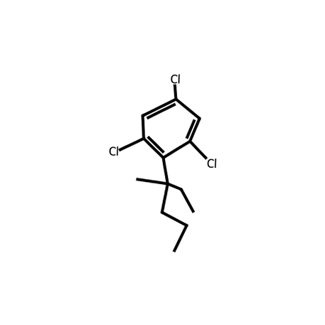 CCCC(C)(CC)c1c(Cl)cc(Cl)cc1Cl